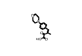 CC(=Cc1ccc(N2CCOCC2)cc1)C(=O)C(=O)O